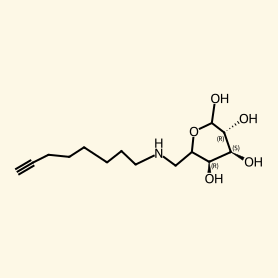 C#CCCCCCCNCC1OC(O)[C@H](O)[C@@H](O)[C@H]1O